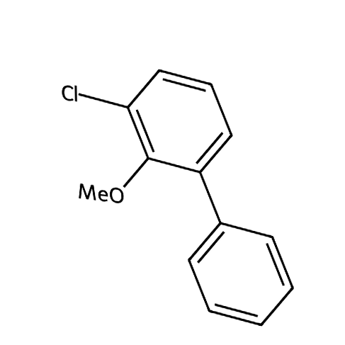 COc1c(Cl)cccc1-c1ccccc1